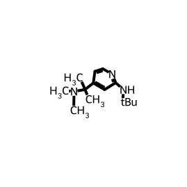 CN(C)C(C)(C)c1ccnc(NC(C)(C)C)c1